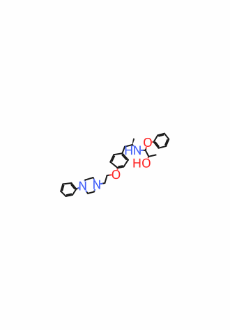 CC(O)C(N[C@H](C)Cc1ccc(OCCN2CCN(c3ccccc3)CC2)cc1)Oc1ccccc1